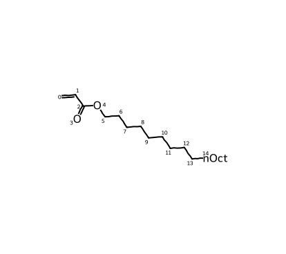 C=CC(=O)OCCCCCCCCCCCCCCCCC